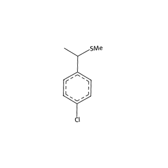 CSC(C)c1ccc(Cl)cc1